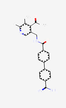 COC(=O)c1c(CNC(=O)c2ccc(-c3ccc(C(=N)N)cc3)cc2)cnc(C)c1OC